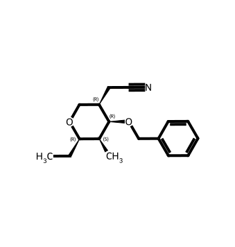 CC[C@H]1OC[C@@H](CC#N)[C@@H](OCc2ccccc2)[C@H]1C